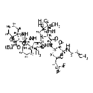 C=CCNC(=O)C(=O)[C@H](CCCC(F)F)NC(=O)[C@@H]1[C@@H]2[C@H](CN1C(=O)[C@@H](NC(=O)NC1(CS(=O)(=O)C(C)(C)C)CCCCC1)C1(C)CCCCC1)C2(C)C